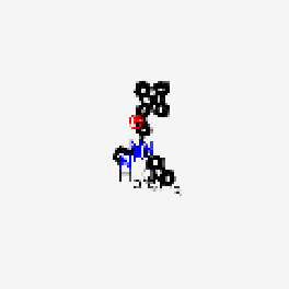 CC1(C)c2ccccc2-c2ccc(-c3nc(-c4ccc5c(c4)oc4cc6c(cc45)C4(c5ccccc5-c5ccccc54)c4ccccc4-6)nc(-c4ccccn4)n3)cc21